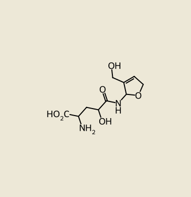 NC(CC(O)C(=O)NC1OCC=C1CO)C(=O)O